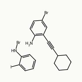 BrNc1ccccc1I.Nc1ccc(Br)cc1C#CC1CCCCC1